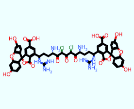 N=C(N)NC(CC[C@H](N)C(=O)C(Cl)C(=O)C(Cl)C(=O)[C@@H](N)CCC(NC(=N)N)c1cc(C(=O)O)cc2c1C(=O)OC21c2ccc(O)cc2Oc2cc(O)ccc21)c1cc(C(=O)O)cc2c1C(=O)OC21c2ccc(O)cc2Oc2cc(O)ccc21